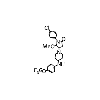 COC1C(N2CCC(Nc3ccc(OC(F)(F)F)cc3)CC2)CC(=O)N1c1ccc(Cl)cc1